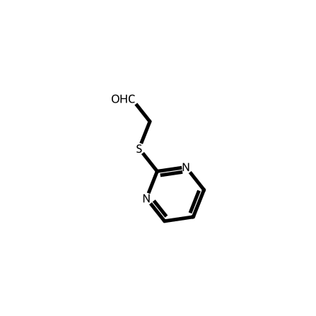 O=CCSc1ncccn1